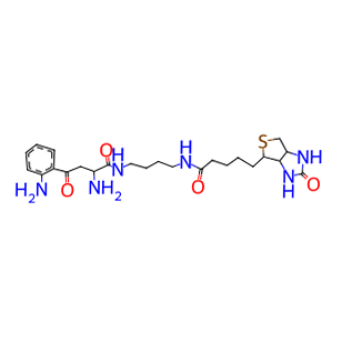 Nc1ccccc1C(=O)CC(N)C(=O)NCCCCNC(=O)CCCCC1SCC2NC(=O)NC21